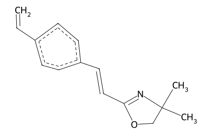 C=Cc1ccc(/C=C/C2=NC(C)(C)CO2)cc1